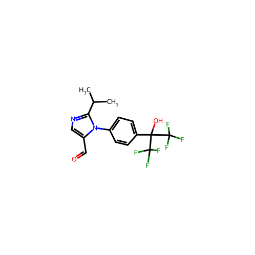 CC(C)c1ncc(C=O)n1-c1ccc(C(O)(C(F)(F)F)C(F)(F)F)cc1